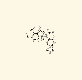 COc1ccc2c(c1OC)C(=O)O[C@]2(C)[C@H]1c2cc3c(cc2CCN1C)OCO3